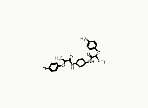 Cc1ccc(OC(C)C(=O)NC2CCC(NC(=O)C(C)Oc3ccc(Cl)cc3)CC2)cc1